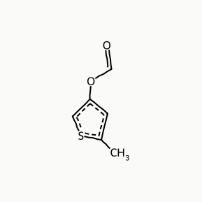 Cc1cc(OC=O)cs1